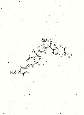 CO[C@H]1C[C@@H](S(=O)(=O)c2ccc(-c3cnn(C)c3)cc2C(F)(F)F)C[C@@H]1C(=O)NC1(C#N)CCN(C)CC1